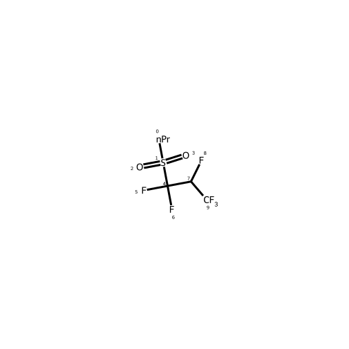 CCCS(=O)(=O)C(F)(F)C(F)C(F)(F)F